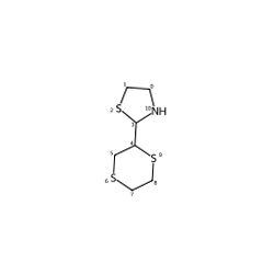 C1CSC(C2CSCCS2)N1